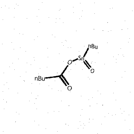 CCCCC(=O)[O][Sn](=[O])[CH2]CCC